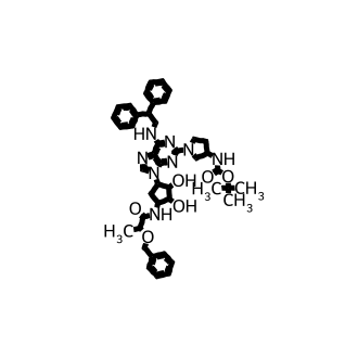 CC(OCc1ccccc1)C(=O)NC1CC(n2cnc3c(NCC(c4ccccc4)c4ccccc4)nc(N4CCC(NC(=O)OC(C)(C)C)C4)nc32)C(O)C1O